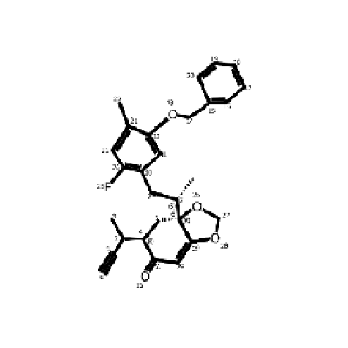 C#CC(C)[C@H]1C[C@]2([C@@H](C)Cc3cc(OCc4ccccc4)c(C)cc3F)OCOC2=CC1=O